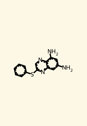 Nc1cc(N)c2ncc(Sc3ccccc3)nc2c1